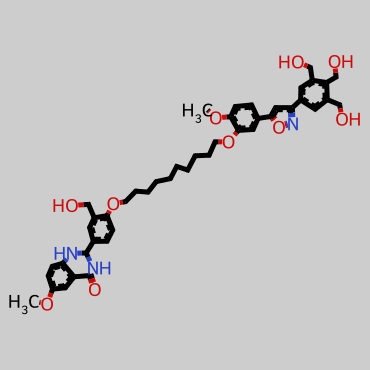 COc1ccc2c(c1)C(=O)NC(c1ccc(OCCCCCCCCCCOc3cc(-c4cc(-c5cc(CO)c(CO)c(CO)c5)no4)ccc3OC)c(CO)c1)N2